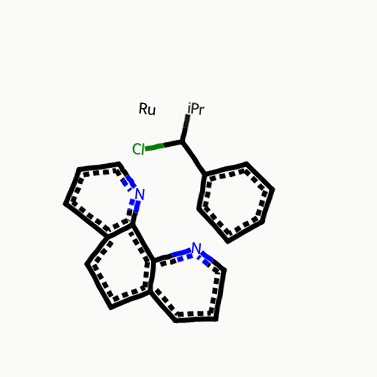 CC(C)C(Cl)c1ccccc1.[Ru].c1cnc2c(c1)ccc1cccnc12